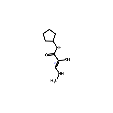 CN/C=C(\S)C(=O)NC1CCCC1